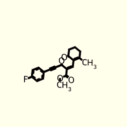 COC(=O)/C(=C/C1=C(C)CCCC1=O)C(=O)C#Cc1ccc(F)cc1